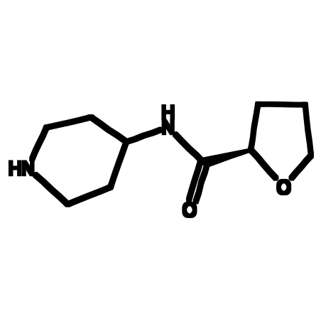 O=C(NC1CCNCC1)[C@H]1CCCO1